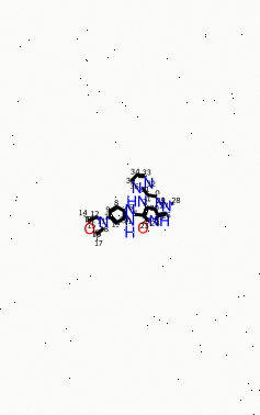 CC(Nc1c(-c2nc3ccc(N4C[C@@H](C)O[C@@H](C)C4)cc3[nH]2)c(=O)[nH]c2cn(C)nc12)c1ncccn1